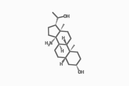 CC(O)[C@H]1CC[C@]2(N)[C@@H]3CC[C@H]4C[C@@H](O)CC[C@]4(C)[C@H]3CC[C@]12C